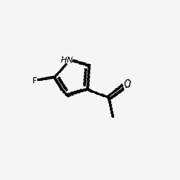 CC(=O)c1c[nH]c(F)c1